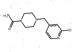 NC(=O)N1CCN(Cc2ccnc(Cl)c2)CC1